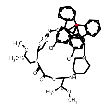 CO[C@@H](C)C1NC2CCN(CC2)CC23c4ccccc4C(c4ccc(Cl)cc42)C32C3c4ccccc4C2(CN2CCC(CC2)N(C[C@H](C)OC)C(=O)C(=O)O1)c1cc(Cl)ccc13